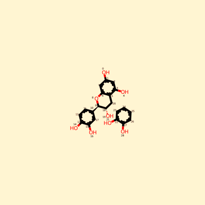 Oc1cc(O)c2c(c1)O[C@H](c1ccc(O)c(O)c1)[C@@H](O)C2.Oc1ccccc1O